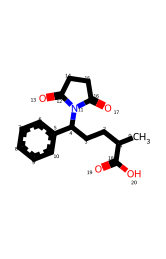 CC(CCC(c1ccccc1)N1C(=O)CCC1=O)C(=O)O